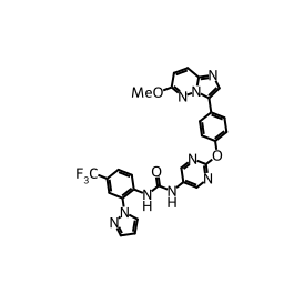 COc1ccc2ncc(-c3ccc(Oc4ncc(NC(=O)Nc5ccc(C(F)(F)F)cc5-n5cccn5)cn4)cc3)n2n1